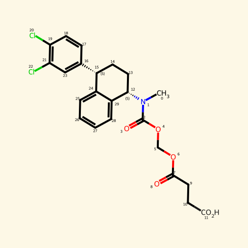 CN(C(=O)OCOC(=O)CCC(=O)O)[C@H]1CC[C@@H](c2ccc(Cl)c(Cl)c2)c2ccccc21